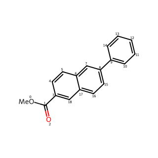 COC(=O)c1ccc2cc(-c3ccccc3)ccc2c1